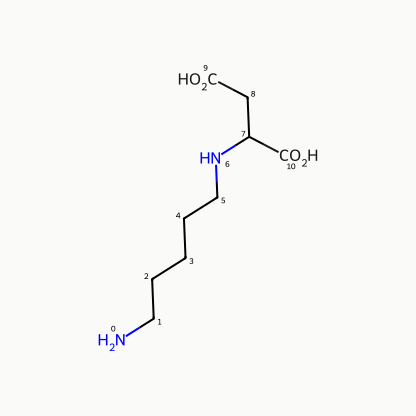 NCCCCCNC(CC(=O)O)C(=O)O